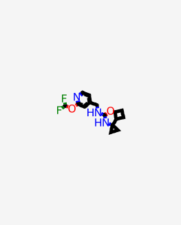 O=C(NCc1ccnc(OC(F)F)c1)NC1(C2CCC2)CC1